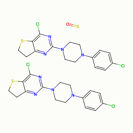 Clc1ccc(N2CCN(c3nc(Cl)c4c(n3)CCS4)CC2)cc1.Clc1ccc(N2CCN(c3nc(Cl)c4c(n3)CCS4)CC2)cc1.O=S